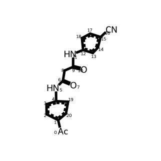 CC(=O)c1ccc(NC(=O)CC(=O)Nc2ccc(C#N)cc2)cc1